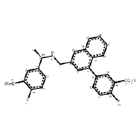 COc1cc([C@@H](C)NCc2cc(-c3ccc(F)c(C(=O)O)c3)c3ccccc3c2)ccc1F